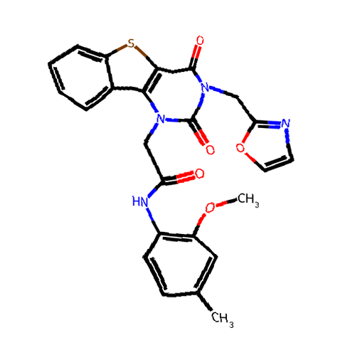 COc1cc(C)ccc1NC(=O)Cn1c(=O)n(Cc2ncco2)c(=O)c2sc3ccccc3c21